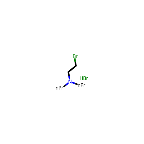 Br.CCCN(CCC)CCBr